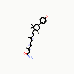 CC1=C(/C=C/C(C)=C/C=C/C(C)=C/C(N)=O)C(C)(C)CC(c2ccc(O)cc2)C1